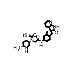 C[C@@H]1CC[C@H](N(CC(=O)Nc2ccc3c(c2)C[C@@]2(C3)C(=O)Nc3ncccc32)C(=O)C(C)(C)C)CN1